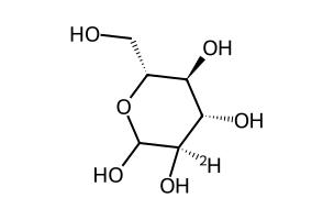 [2H][C@]1(O)C(O)O[C@H](CO)[C@@H](O)[C@@H]1O